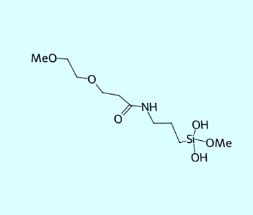 COCCOCCC(=O)NCCC[Si](O)(O)OC